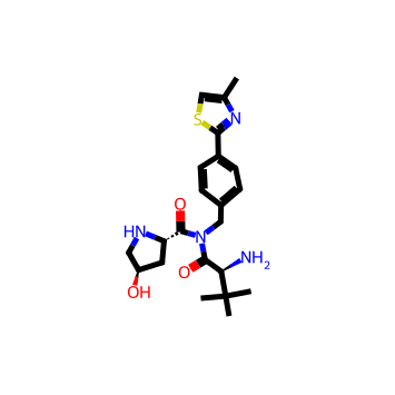 Cc1csc(-c2ccc(CN(C(=O)[C@@H]3C[C@@H](O)CN3)C(=O)[C@@H](N)C(C)(C)C)cc2)n1